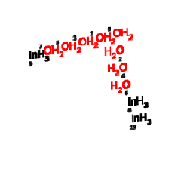 O.O.O.O.O.O.O.O.[InH3].[InH3].[InH3]